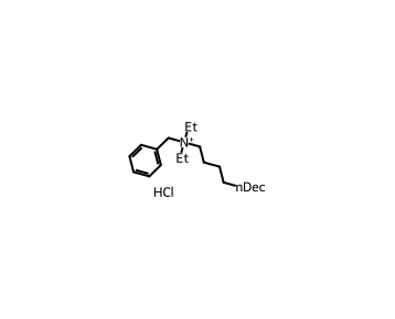 CCCCCCCCCCCCCC[N+](CC)(CC)Cc1ccccc1.Cl